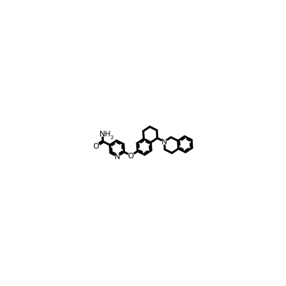 NC(=O)c1ccc(Oc2ccc3c(c2)CCCC3N2CCc3ccccc3C2)nc1